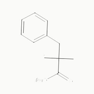 CC(C)COC(=O)C(C)(C)Cc1ccccc1